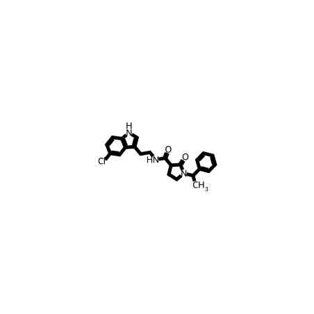 CC(c1ccccc1)N1CCC(C(=O)NCCc2c[nH]c3ccc(Cl)cc23)C1=O